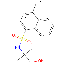 Cc1ccc(S(=O)(=O)NC(C)(C)CO)c2ccccc12